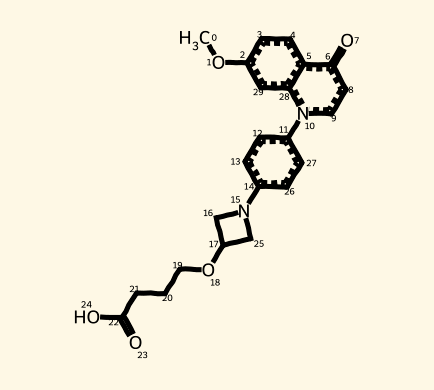 COc1ccc2c(=O)ccn(-c3ccc(N4CC(OCCCC(=O)O)C4)cc3)c2c1